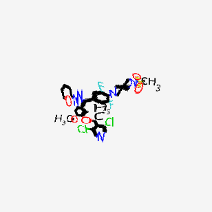 COc1cc2c(cc1OC(C)c1c(Cl)cncc1Cl)c(-c1cc(F)c(N3CC4(C3)CN(S(C)(=O)=O)C4)c(F)c1)nn2C1CCCCO1